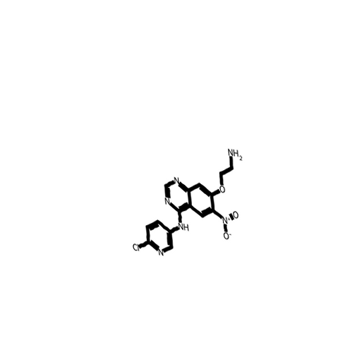 NCCOc1cc2ncnc(Nc3ccc(Cl)nc3)c2cc1[N+](=O)[O-]